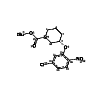 CC(C)(C)OC(=O)N1CCC[C@H](Oc2cc(Cl)ccc2[N+](=O)[O-])C1